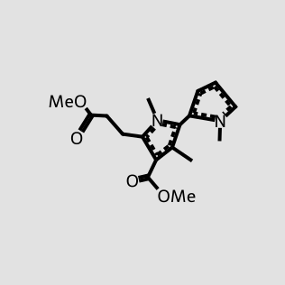 COC(=O)CCc1c(C(=O)OC)c(C)c(-c2cccn2C)n1C